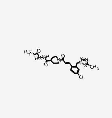 CCC(=O)NNC(=O)C1CCN(C(=O)C=Cc2ccc(Cl)cc2Cn2nnc(C)n2)CC1